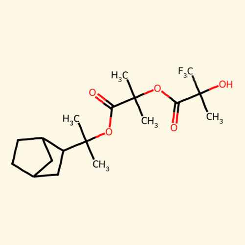 CC(C)(OC(=O)C(C)(O)C(F)(F)F)C(=O)OC(C)(C)C1CC2CCC1C2